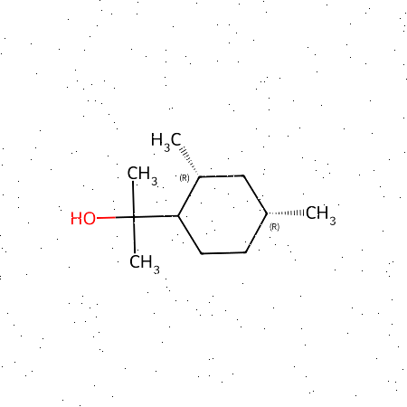 C[C@@H]1CCC(C(C)(C)O)[C@H](C)C1